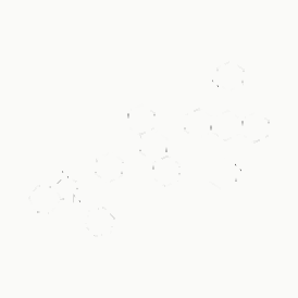 C1=CCC(c2c3ccccc3c(-c3ccccn3)c3ccc(-c4c5ccccc5c(-c5ccc(-c6nc7ccccc7n6-c6ccccc6)cc5)c5ccccc45)cc23)N=C1